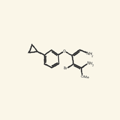 CO/C(N)=C(Br)/C(=C\N)Oc1cccc(C2CC2)c1